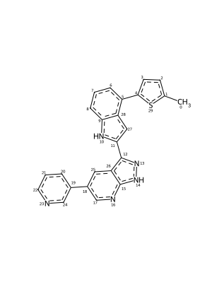 Cc1ccc(-c2cccc3[nH]c(-c4n[nH]c5ncc(-c6cccnc6)cc45)cc23)s1